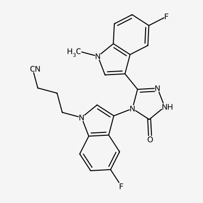 Cn1cc(-c2n[nH]c(=O)n2-c2cn(CCCC#N)c3ccc(F)cc23)c2cc(F)ccc21